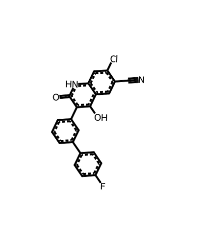 N#Cc1cc2c(O)c(-c3cccc(-c4ccc(F)cc4)c3)c(=O)[nH]c2cc1Cl